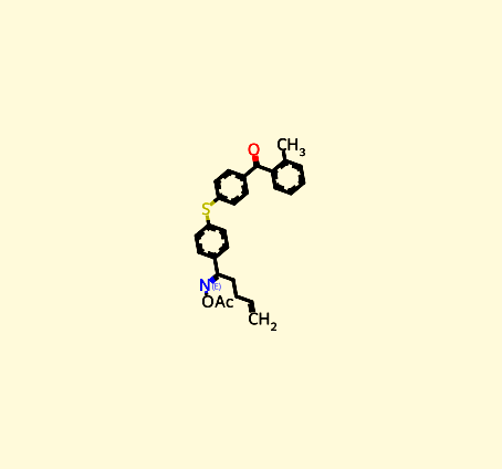 C=CCC/C(=N\OC(C)=O)c1ccc(Sc2ccc(C(=O)c3ccccc3C)cc2)cc1